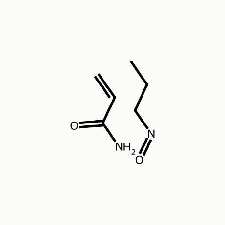 C=CC(N)=O.CCCN=O